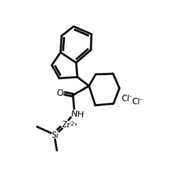 C[Si](C)=[Zr+2][NH]C(=O)C1(C2C=Cc3ccccc32)CCCCC1.[Cl-].[Cl-]